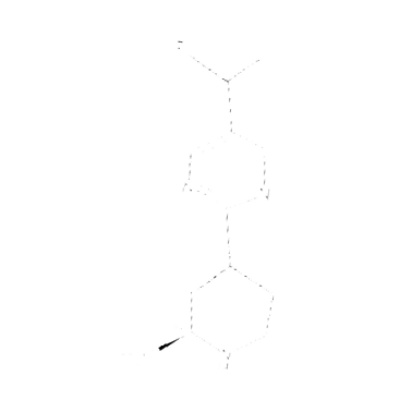 C[C@H]1CC(c2ncc(C(F)F)cn2)CCN1